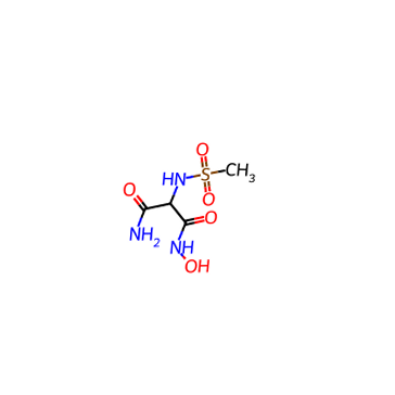 CS(=O)(=O)NC(C(N)=O)C(=O)NO